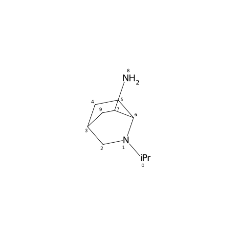 CC(C)N1CC2CCC1C(N)C2